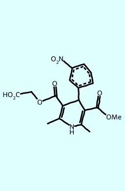 COC(=O)C1=C(C)NC(C)=C(C(=O)OCC(=O)O)C1c1cccc([N+](=O)[O-])c1